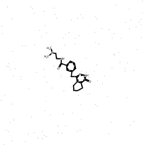 CN(C)CCNC(=O)c1cccc(Cc2n[nH]c(=O)c3c2CCCC3)c1